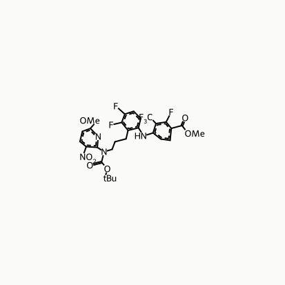 COC(=O)c1ccc(Nc2ccc(F)c(F)c2CCCN(C(=O)OC(C)(C)C)c2nc(OC)ccc2[N+](=O)[O-])c(C(F)(F)F)c1F